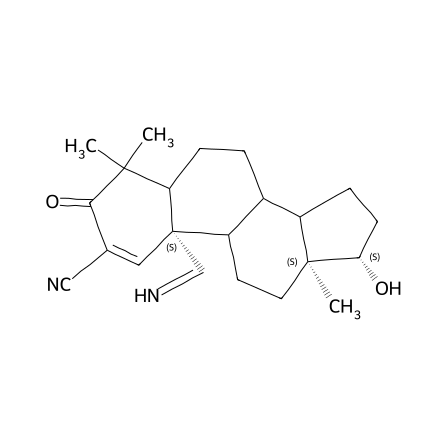 CC1(C)C(=O)C(C#N)=C[C@]2(C=N)C3CC[C@@]4(C)C(CC[C@@H]4O)C3CCC12